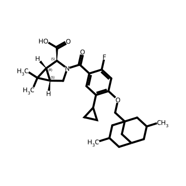 CC1CC2CC(C)CC(COc3cc(F)c(C(=O)N4C[C@H]5[C@@H]([C@H]4C(=O)O)C5(C)C)cc3C3CC3)(C1)C2